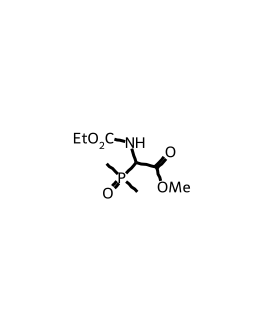 CCOC(=O)NC(C(=O)OC)P(C)(C)=O